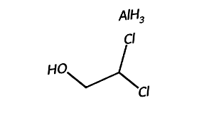 OCC(Cl)Cl.[AlH3]